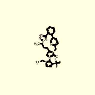 CCCCc1cn(-c2c(C(F)(F)F)ccn2CC)c(=O)n1Cc1ccc(-c2ccccc2-c2nnn[nH]2)cn1